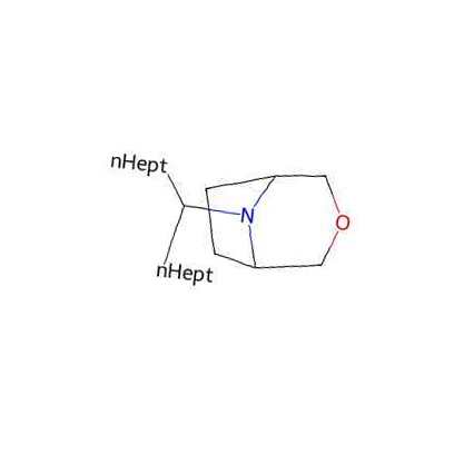 CCCCCCCC(CCCCCCC)N1C2CCC1COC2